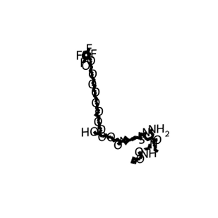 CCCN(CCCNC(=O)OC1CCC1)C(=O)C1=Cc2sc(C#CC3CN(C(=O)CCOCCOC(CO)OCCOCCOCCOCCOCCOCCOCCC(=O)Oc4c(F)c(F)cc(F)c4F)C3)cc2N=C(N)C1